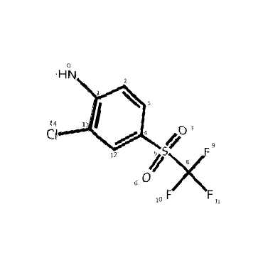 [NH]c1ccc(S(=O)(=O)C(F)(F)F)cc1Cl